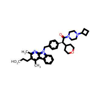 Cc1nc2c(c(C)c1CCC(=O)O)c1ccccc1n2Cc1ccc([C@@H](C(=O)N2CCN(C3CCC3)CC2)C2CCOCC2)cc1